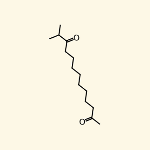 CC(=O)CCCCCCCCC(=O)C(C)C